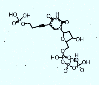 O=c1[nH]c(=O)n(C2CC(O)C(COP(=O)(O)OP(=O)(O)OP(=O)(O)O)O2)cc1C#CCCOP(=O)(O)O